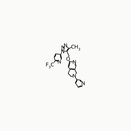 Cc1nnn(-c2ccc(C(F)(F)F)nc2)c1COc1cc2c(cn1)CN(c1cccnc1)CC2